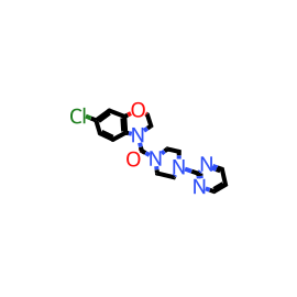 O=C(N1CCN(c2ncccn2)CC1)N1CCOc2cc(Cl)ccc21